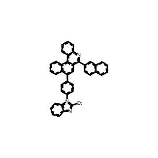 CCc1nc2ccccc2n1-c1ccc(-c2cc3c(-c4ccc5ccccc5c4)nc4ccccc4c3c3ccccc23)cc1